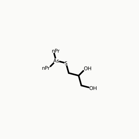 CCC[As](CCC)SCC(O)CO